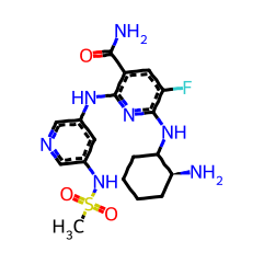 CS(=O)(=O)Nc1cncc(Nc2nc(NC3CCCC[C@@H]3N)c(F)cc2C(N)=O)c1